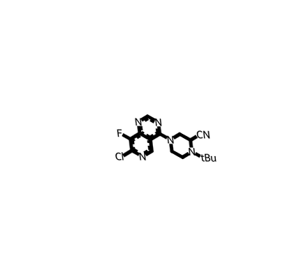 CC(C)(C)N1CCN(c2ncnc3c(F)c(Cl)ncc23)CC1C#N